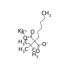 CCCCCCC(C(=O)[O-])(C(=O)[O-])C(C)(C)C.[K+].[K+]